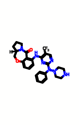 O=C1c2c(Nc3nc(N(c4ccccc4)N4CCNCC4)ncc3C(F)(F)F)cccc2OC[C@@H]2CCCN12